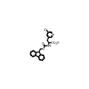 O=C(NC(Cc1cncc(Cl)c1)C(=O)O)OCC1c2ccccc2-c2ccccc21